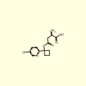 C=C(CC(=O)OC1(c2ccc(Cl)cn2)CCC1)C(=O)O